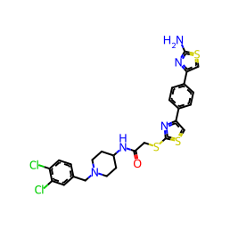 Nc1nc(-c2ccc(-c3csc(SCC(=O)NC4CCN(Cc5ccc(Cl)c(Cl)c5)CC4)n3)cc2)cs1